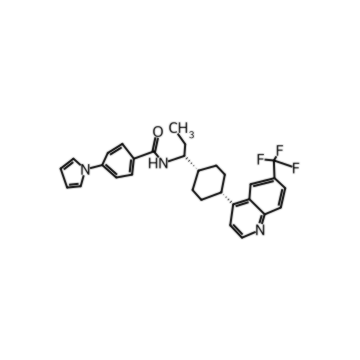 CCC(NC(=O)c1ccc(-n2cccc2)cc1)[C@H]1CC[C@@H](c2ccnc3ccc(C(F)(F)F)cc32)CC1